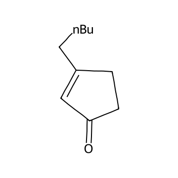 CCCCCC1=CC(=O)CC1